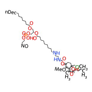 CCCCCCCCCCCCCCCCC(=O)OCC(COP(=O)(O)OCCN=O)OC(=O)CCCCCCCCNCCNC(=O)O[C@@H]1CC[C@](O)(CCl)[C@@H]([C@@]2(C)O[C@@H]2CC=C(C)C)[C@@H]1OC